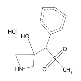 CS(=O)(=O)C(c1ccccc1)C1(O)CNC1.Cl